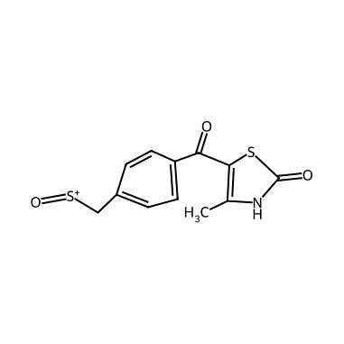 Cc1[nH]c(=O)sc1C(=O)c1ccc(C[S+]=O)cc1